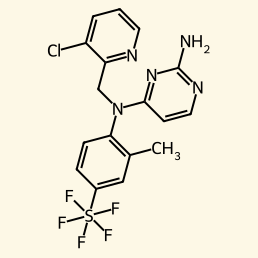 Cc1cc(S(F)(F)(F)(F)F)ccc1N(Cc1ncccc1Cl)c1ccnc(N)n1